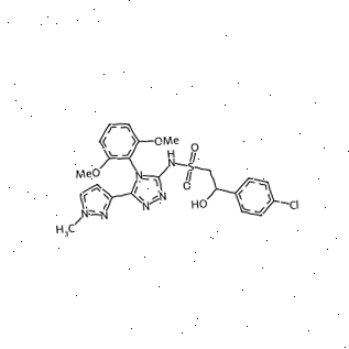 COc1cccc(OC)c1-n1c(NS(=O)(=O)CC(O)c2ccc(Cl)cc2)nnc1-c1ccn(C)n1